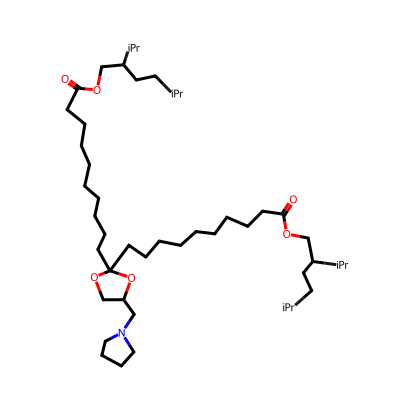 CC(C)CCC(COC(=O)CCCCCCCCCC1(CCCCCCCCCC(=O)OCC(CCC(C)C)C(C)C)OCC(CN2CCCC2)O1)C(C)C